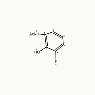 CC(=O)Nc1cccc(F)c1O